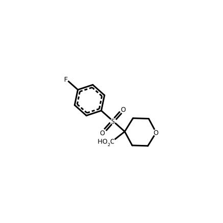 O=C(O)C1(S(=O)(=O)c2ccc(F)cc2)CCOCC1